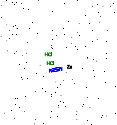 Cl.Cl.N#N.[Zn]